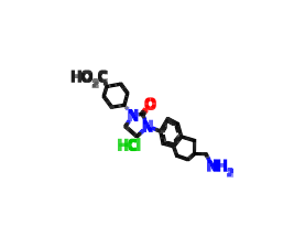 Cl.NCC1CCc2cc(N3CCN([C@H]4CC[C@H](C(=O)O)CC4)C3=O)ccc2C1